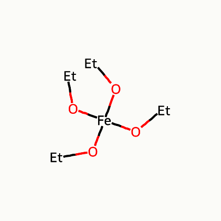 CC[O][Fe]([O]CC)([O]CC)[O]CC